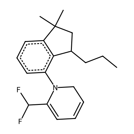 CCCC1CC(C)(C)c2cccc(N3CC=CC=C3C(F)F)c21